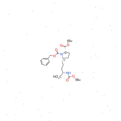 CC(C)(C)OC(=O)NC(CCC[C@H]1CC[C@@H](C(=O)OC(C)(C)C)N1C(=O)OCc1ccccc1)C(=O)O